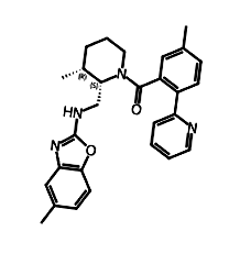 Cc1ccc(-c2ccccn2)c(C(=O)N2CCC[C@@H](C)[C@H]2CNc2nc3cc(C)ccc3o2)c1